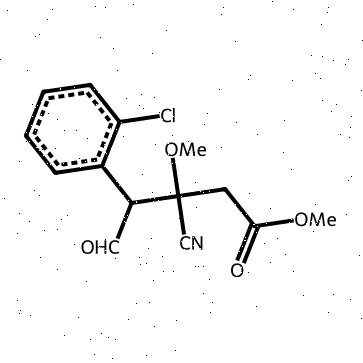 COC(=O)CC(C#N)(OC)C(C=O)c1ccccc1Cl